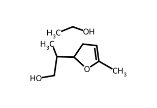 CC1=CCC(C(C)CO)O1.CCO